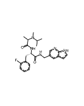 CC(C)N(C)C(C)C(=O)N[C@@H](Cc1ccccc1F)C(=O)NCc1cnc2[nH]ccc2c1